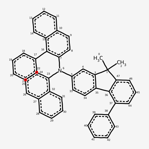 CC1(C)c2cc(N(c3ccc4ccccc4c3-c3ccccc3)c3cccc4ccccc34)ccc2-c2c(-c3ccccc3)cccc21